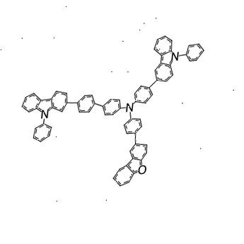 c1ccc(-n2c3ccccc3c3cc(-c4ccc(N(c5ccc(-c6ccc(-c7ccc8c9ccccc9n(-c9ccccc9)c8c7)cc6)cc5)c5ccc(-c6ccc7oc8ccccc8c7c6)cc5)cc4)ccc32)cc1